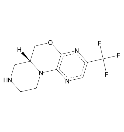 FC(F)(F)c1cnc2c(n1)OC[C@H]1CNCCN21